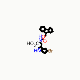 O=C(N[C@@H](Cc1c[nH]c2ccc(Br)cc12)C(=O)O)OCC1c2ccccc2-c2ccccc21